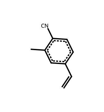 [C-]#[N+]c1ccc(C=C)cc1C